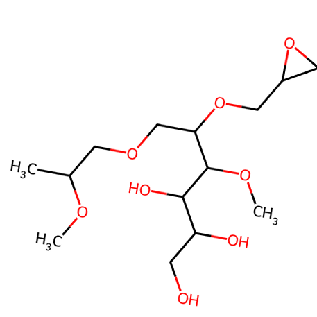 COC(C)COCC(OCC1CO1)C(OC)C(O)C(O)CO